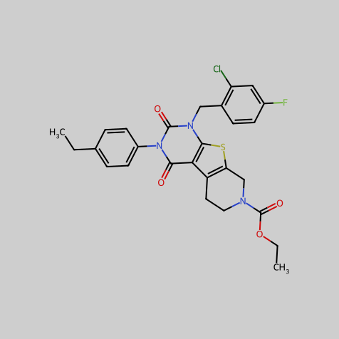 CCOC(=O)N1CCc2c(sc3c2c(=O)n(-c2ccc(CC)cc2)c(=O)n3Cc2ccc(F)cc2Cl)C1